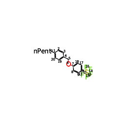 CCCCCc1ccc(COc2ccc(S(F)(F)(F)(F)F)cc2)cc1